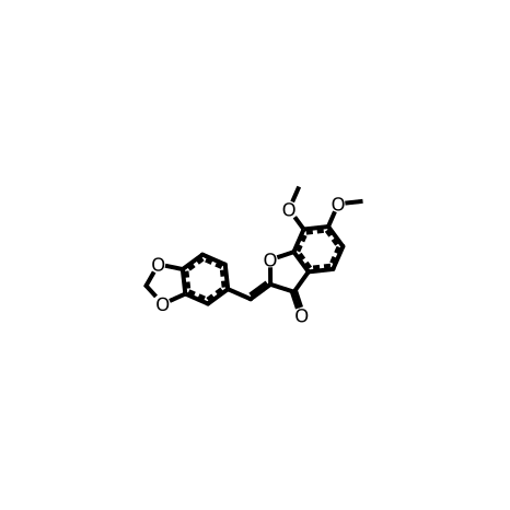 COc1ccc2c(c1OC)OC(=Cc1ccc3c(c1)OCO3)C2=O